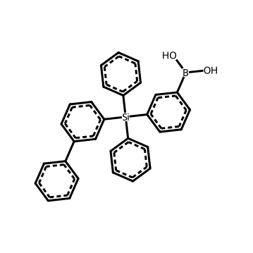 OB(O)c1cccc([Si](c2ccccc2)(c2ccccc2)c2cccc(-c3ccccc3)c2)c1